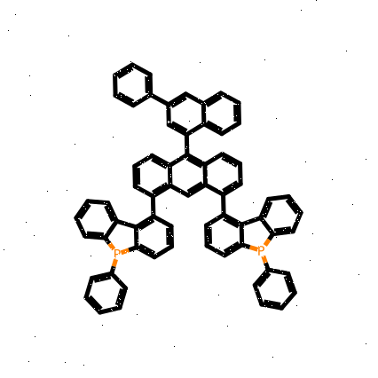 c1ccc(-c2cc(-c3c4cccc(-c5cccc6c5c5ccccc5p6-c5ccccc5)c4cc4c(-c5cccc6c5c5ccccc5p6-c5ccccc5)cccc34)c3ccccc3c2)cc1